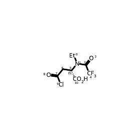 CCN(C(=O)C(F)(F)F)[C@@H](CC(=O)Cl)C(=O)O